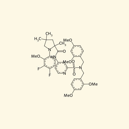 COc1ccc(CN(Cc2ccc(OC)cc2OC)S(=O)(=O)c2cc(NC(=O)C3(C)CC(C)(C)CN3c3ccc(F)c(F)c3OC)ccn2)c(OC)c1